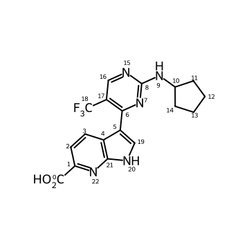 O=C(O)c1ccc2c(-c3nc(NC4CCCC4)ncc3C(F)(F)F)c[nH]c2n1